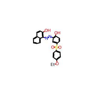 CCOc1ccc(S(=O)(=O)c2ccc(O)c(N=Nc3c(O)ccc4ccccc34)c2)cc1